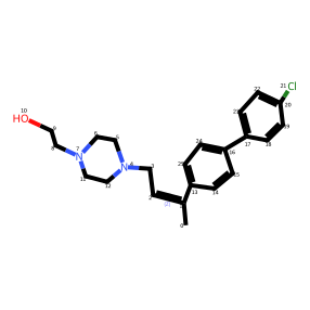 C/C(=C/CN1CCN(CCO)CC1)c1ccc(-c2ccc(Cl)cc2)cc1